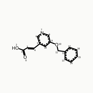 O=C(O)C=Cc1cncc(OCc2ccccc2)c1